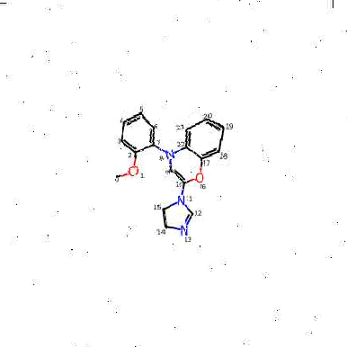 COc1ccccc1N1C=C(N2C=NCC2)Oc2ccccc21